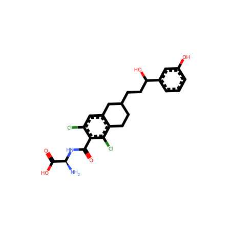 N[C@H](NC(=O)c1c(Cl)cc2c(c1Cl)CCC(CCC(O)c1cccc(O)c1)C2)C(=O)O